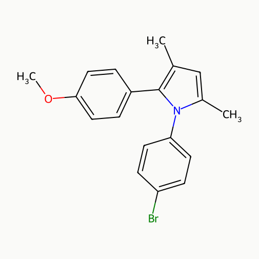 COc1ccc(-c2c(C)cc(C)n2-c2ccc(Br)cc2)cc1